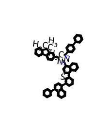 C/C(=N\C(=N/Cc1ccc2c(c1)C(C)(C)c1ccccc1-2)c1cc2sc3c(-c4ccc(-c5ccccc5)c5ccccc45)cccc3c2c2ccccc12)c1ccc(-c2ccccc2)cc1